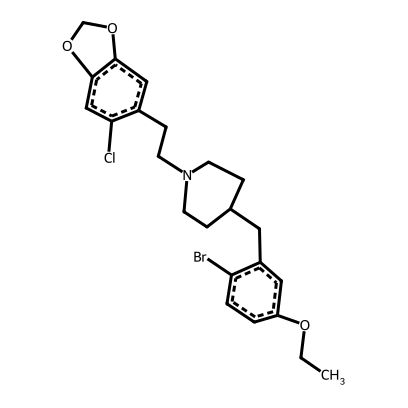 CCOc1ccc(Br)c(CC2CCN(CCc3cc4c(cc3Cl)OCO4)CC2)c1